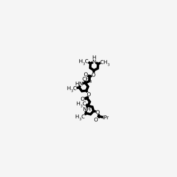 CC1CC(OC(=O)CC2(C)CC(OC(=O)CC3(C)CC(OC(=O)C(C)C)CC(C)N3)CC(C)N2)CC(C)N1